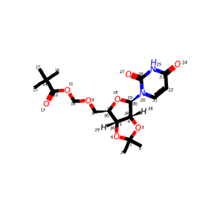 CC1(C)O[C@@H]2[C@H](O1)[C@@H](COCOC(=O)C(C)(C)C)O[C@H]2n1ccc(=O)[nH]c1=O